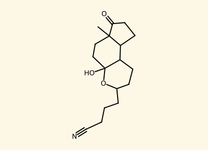 CC12CCC3(O)OC(CCCC#N)CCC3C1CCC2=O